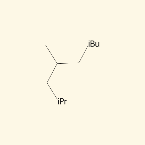 [CH2]C(C)CC(C)CC(C)CC